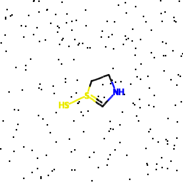 SS1=CNCC1